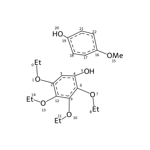 CCOc1cc(O)c(OCC)c(OCC)c1OCC.COc1ccc(O)cc1